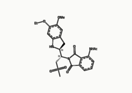 CCOc1cc2c(cc1OC)C[C@@H]([C@@H](CS(C)(=O)=O)N1C(=O)c3cccc(NC(C)=O)c3C1=O)N2